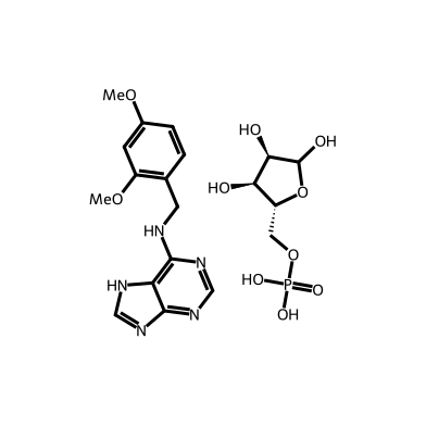 COc1ccc(CNc2ncnc3nc[nH]c23)c(OC)c1.O=P(O)(O)OC[C@H]1OC(O)[C@H](O)[C@@H]1O